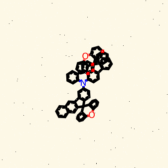 c1ccc(-c2ccc(-c3ccccc3N(c3ccc4c(c3)-c3cc5ccccc5cc3C43c4ccccc4Oc4ccccc43)c3ccc4c(c3)C3(c5ccccc5Oc5ccccc53)c3ccccc3-4)cc2)cc1